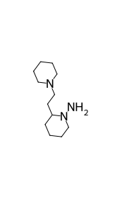 NN1CCCCC1CCN1CCCCC1